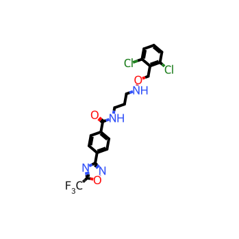 O=C(NCCCNOCc1c(Cl)cccc1Cl)c1ccc(-c2noc(C(F)(F)F)n2)cc1